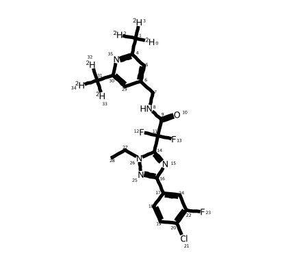 [2H]C([2H])([2H])c1cc(CNC(=O)C(F)(F)c2nc(-c3ccc(Cl)c(F)c3)nn2CC)cc(C([2H])([2H])[2H])n1